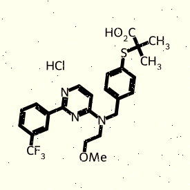 COCCN(Cc1ccc(SC(C)(C)C(=O)O)cc1)c1ccnc(-c2cccc(C(F)(F)F)c2)n1.Cl